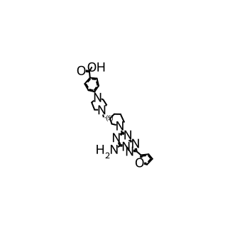 Nc1nc(N2CCC[C@@H](CN3CCN(c4ccc(C(=O)O)cc4)CC3)C2)nc2nc(-c3ccco3)nn12